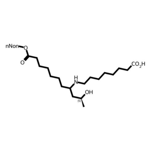 CCCCCCCCCOC(=O)CCCCCCC(C[C@H](C)O)NCCCCCCCC(=O)O